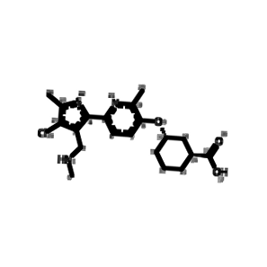 CNCc1c(-c2ccc(O[C@H]3CCC[C@H](C(=O)O)C3)c(C)n2)sc(C)c1Cl